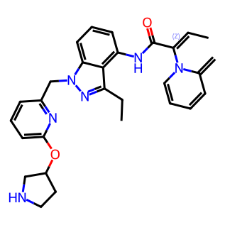 C=C1C=CC=CN1/C(=C\C)C(=O)Nc1cccc2c1c(CC)nn2Cc1cccc(OC2CCNC2)n1